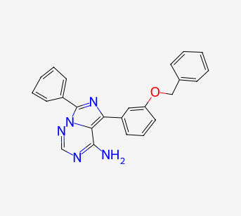 Nc1ncnn2c(-c3ccccc3)nc(-c3cccc(OCc4ccccc4)c3)c12